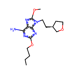 CCCCOc1nc(N)c2nc(OC)n(CC[C@H]3CCOC3)c2n1